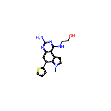 Cn1ccc2c3c(NCCO)nc(N)nc3cc(-c3cccs3)c21